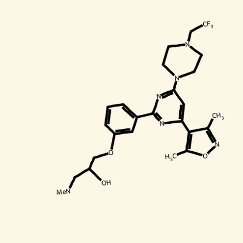 CNCC(O)COc1cccc(-c2nc(-c3c(C)noc3C)cc(N3CCN(CC(F)(F)F)CC3)n2)c1